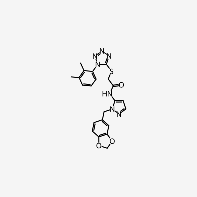 Cc1cccc(-n2nnnc2SCC(=O)Nc2ccnn2Cc2ccc3c(c2)OCO3)c1C